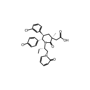 CC[C@@H](Cn1ccccc1=O)N1C(=O)[C@](C)(CC(=O)O)C[C@H](c2cccc(Cl)c2)[C@H]1c1ccc(Cl)cc1